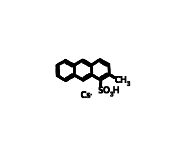 Cc1ccc2cc3ccccc3cc2c1S(=O)(=O)O.[Cs]